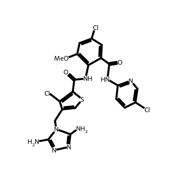 COc1cc(Cl)cc(C(=O)Nc2ccc(Cl)cn2)c1NC(=O)c1scc(Cn2c(N)nnc2N)c1Cl